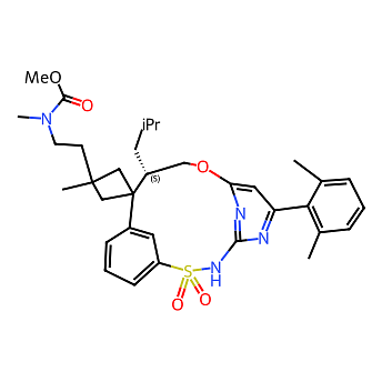 COC(=O)N(C)CCC1(C)CC2(C1)c1cccc(c1)S(=O)(=O)Nc1nc(cc(-c3c(C)cccc3C)n1)OC[C@H]2CC(C)C